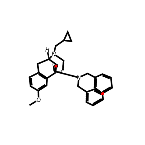 COc1ccc2c(c1)[C@@]13CCN(CC4CC4)[C@@H](C2)C1OCC(N(Cc1ccccc1)Cc1ccccc1)C3